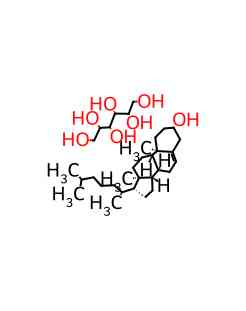 CC(C)CCC[C@@H](C)[C@H]1CC[C@H]2[C@@H]3CC=C4C[C@@H](O)CC[C@]4(C)[C@H]3CC[C@]12C.OC[C@@H](O)[C@@H](O)[C@H](O)[C@H](O)CO